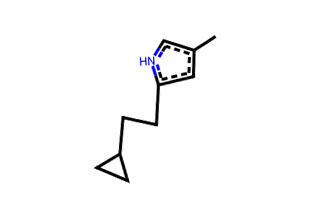 Cc1c[nH]c(CCC2CC2)c1